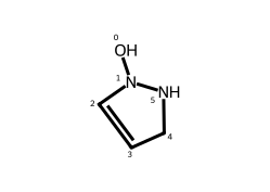 ON1C=CCN1